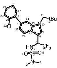 CN(C)S(=O)(=O)N[C@@H](c1cn(CC(C)(C)C)c2cc(-c3ccccc3Cl)ccc12)C(F)(F)F